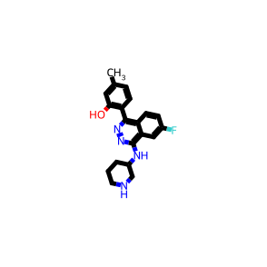 Cc1ccc(-c2nnc(NC3CCCNC3)c3cc(F)ccc23)c(O)c1